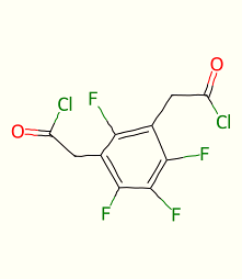 O=C(Cl)Cc1c(F)c(F)c(F)c(CC(=O)Cl)c1F